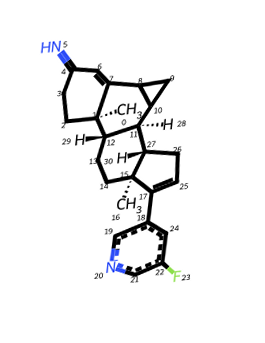 C[C@]12CCC(=N)C=C1C1CC1[C@@H]1[C@@H]2CC[C@]2(C)C(c3cncc(F)c3)=CC[C@@H]12